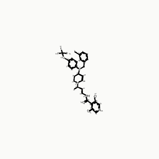 Cc1cccc(CN(c2ccc(OC(F)(F)F)cc2)C2CCN(C(C)CCNC(=O)c3c(Cl)cncc3Cl)CC2)c1